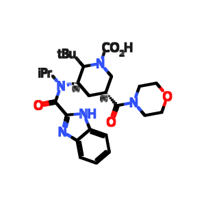 CC(C)N(C(=O)c1nc2ccccc2[nH]1)[C@H]1C[C@@H](C(=O)N2CCOCC2)CN(C(=O)O)C1C(C)(C)C